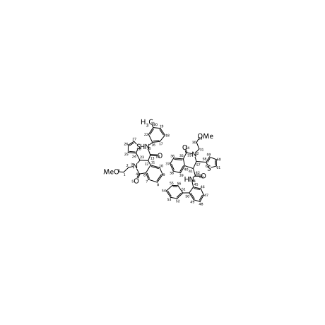 COCCN1C(=O)c2ccccc2C(C(=O)Nc2cccc(C)c2)C1c1cccs1.COCCN1C(=O)c2ccccc2C(C(=O)Nc2ccccc2-c2ccccc2)C1c1cccs1